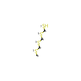 CSCSCSCS